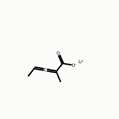 CC=C=C(C)C(=O)[O-].[Li+]